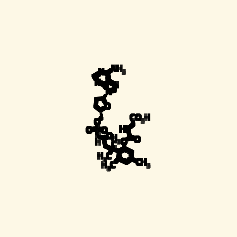 Cc1cc(C)c(C(C)(C)CC(=O)NS(=O)(=O)OC[C@@H]2CC[C@H](n3cnc4c(N)ncnc43)O2)c(OC(=O)NCC(=O)O)c1